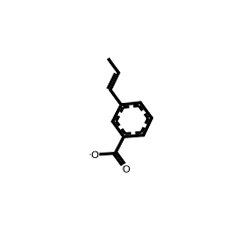 C/C=C/c1cccc(C([O])=O)c1